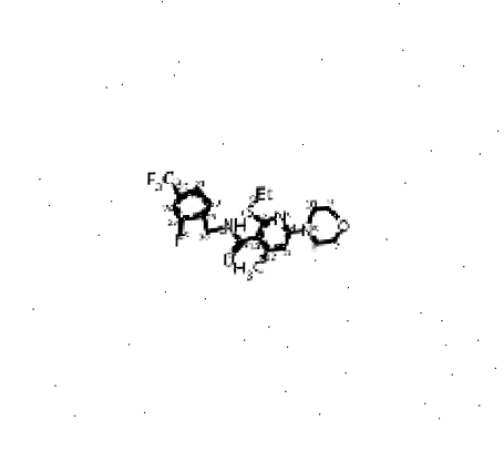 CCSc1nc(N2CCOCC2)cc(C)c1C(=O)NCc1ccc(C(F)(F)F)cc1F